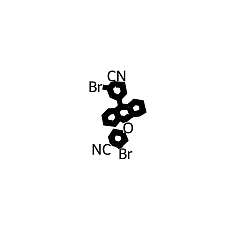 N#Cc1ccc(Oc2c3ccccc3c(-c3ccc(C#N)c(Br)c3)c3ccccc23)cc1Br